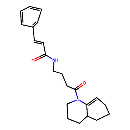 O=C(C=Cc1ccccc1)NCCCC(=O)N1CCCC2CCCC=C21